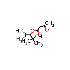 CC(=O)CC(=O)OC(C(C)C)C(C)(C)C